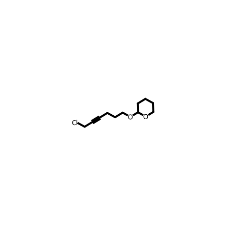 ClCC#CCCCOC1CCCCO1